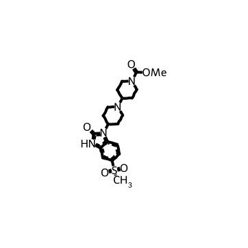 COC(=O)N1CCC(N2CCC(n3c(=O)[nH]c4cc(S(C)(=O)=O)ccc43)CC2)CC1